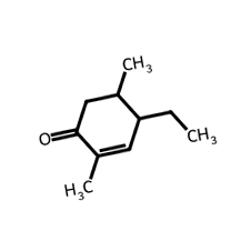 CCC1C=C(C)C(=O)CC1C